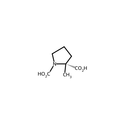 C[C@]1(C(=O)O)CCCN1C(=O)O